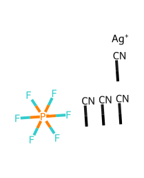 CC#N.CC#N.CC#N.CC#N.F[P-](F)(F)(F)(F)F.[Ag+]